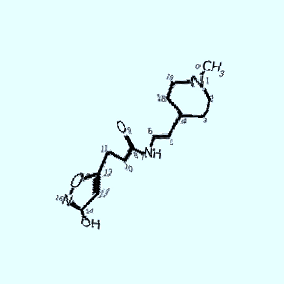 CN1CCC(CCNC(=O)CCc2cc(O)no2)CC1